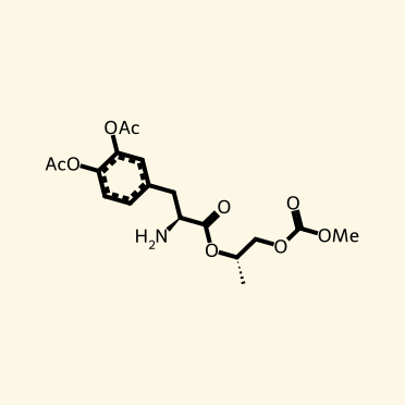 COC(=O)OC[C@H](C)OC(=O)[C@@H](N)Cc1ccc(OC(C)=O)c(OC(C)=O)c1